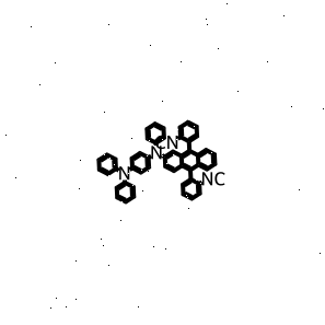 [C-]#[N+]c1ccccc1-c1c2ccccc2c(-c2ccccc2[N+]#[C-])c2cc(N(c3ccccc3)c3ccc(N(c4ccccc4)c4ccccc4)cc3)ccc12